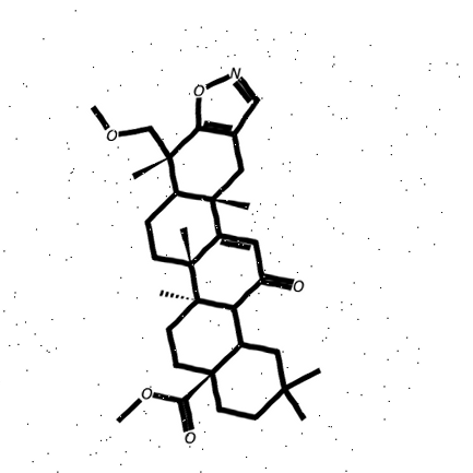 COC[C@]1(C)c2oncc2C[C@]2(C)C3=CC(=O)C4C5CC(C)(C)CC[C@]5(C(=O)OC)CC[C@@]4(C)[C@]3(C)CCC21